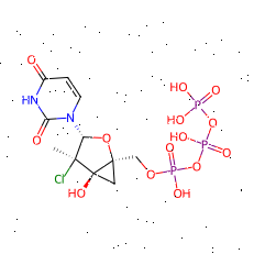 C[C@]1(Cl)[C@H](n2ccc(=O)[nH]c2=O)O[C@@]2(COP(=O)(O)OP(=O)(O)OP(=O)(O)O)C[C@@]21O